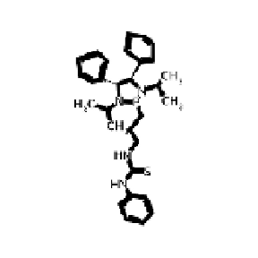 CC(C)N1[C@H](c2ccccc2)[C@@H](c2ccccc2)N(C(C)C)P1CCCNC(=S)Nc1ccccc1